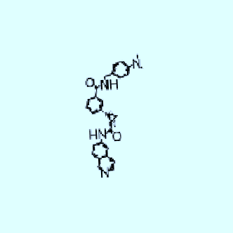 CN(C)c1ccc(CNC(=O)c2cccc([C@@H]3C[C@H]3C(=O)Nc3ccc4cnccc4c3)c2)cc1